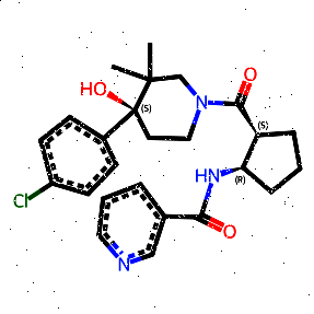 CC1(C)CN(C(=O)[C@H]2CCC[C@H]2NC(=O)c2cccnc2)CC[C@]1(O)c1ccc(Cl)cc1